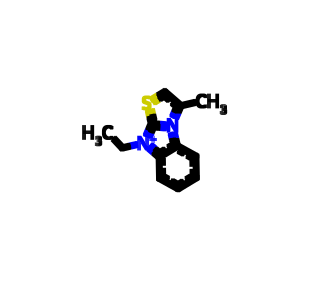 CC[n+]1c2ccccc2n2c(C)csc21